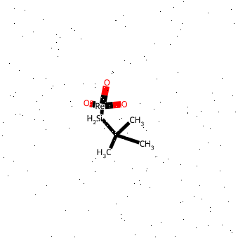 CC(C)(C)[SiH2][Re](=[O])(=[O])=[O]